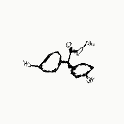 CCCCOC(=O)C(c1ccc(O)cc1)c1ccc(O)cc1